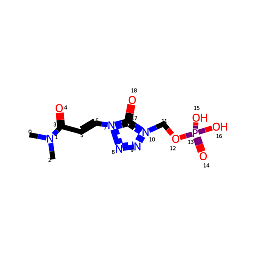 CN(C)C(=O)/C=C/n1nnn(COP(=O)(O)O)c1=O